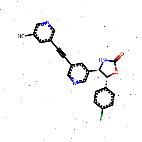 N#Cc1cncc(C#Cc2cncc([C@H]3NC(=O)O[C@@H]3c3ccc(F)cc3)c2)c1